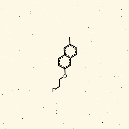 [CH2]c1ccc2cc(OCCF)ccc2c1